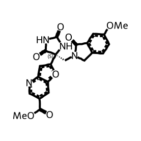 COC(=O)c1cnc2cc([C@]3(CN4Cc5ccc(OC)cc5C4=O)NC(=O)NC3=O)oc2c1